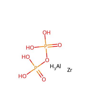 O=P(O)(O)OP(=O)(O)O.[AlH3].[Zr]